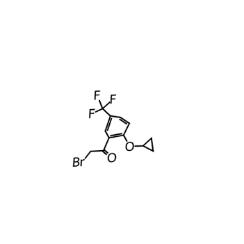 O=C(CBr)c1cc(C(F)(F)F)ccc1OC1CC1